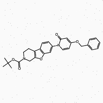 CC(C)(C)OC(=O)N1CCc2c(oc3cc(-n4ccc(OCc5ccccc5)cc4=O)ccc23)C1